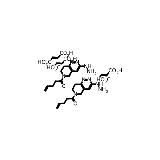 C=CCCC(=O)N1CCc2nnc(NN)cc2C1.C=CCCC(=O)N1CCc2nnc(NN)cc2C1.O=C(O)/C=C/C(=O)O.O=C(O)/C=C/C(=O)O.O=C(O)/C=C/C(=O)O